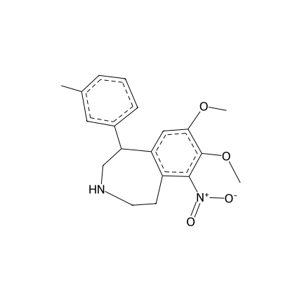 COc1cc2c(c([N+](=O)[O-])c1OC)CCNCC2c1cccc(C)c1